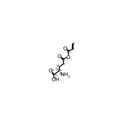 C=CC(=O)OC(=O)CC[C@H](N)C(=O)O